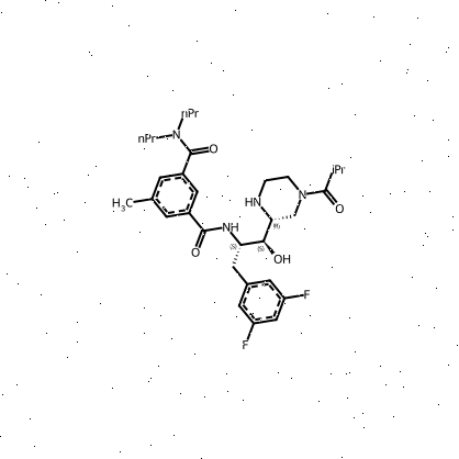 CCCN(CCC)C(=O)c1cc(C)cc(C(=O)N[C@@H](Cc2cc(F)cc(F)c2)[C@H](O)[C@H]2CN(C(=O)C(C)C)CCN2)c1